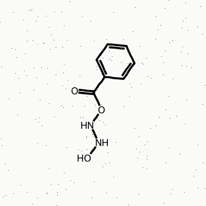 O=C(ONNO)c1ccccc1